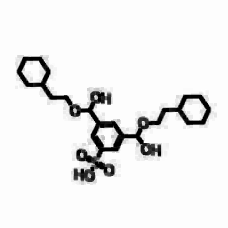 O=S(=O)(O)c1cc(C(O)OCCC2CCCCC2)cc(C(O)OCCC2CCCCC2)c1